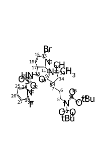 CC(C)(C)OC(=O)N(CCC[C@@H]1CN(c2nc(Br)ccc2C(=O)NS(=O)(=O)c2cccc(F)n2)C(C)(C)C1)C(=O)OC(C)(C)C